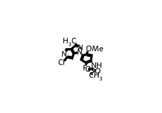 COc1cc(NS(C)(=O)=O)c(F)cc1-n1nc(C)c2cnc(Cl)cc21